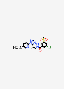 C[C@@H](CNC(=O)c1cc(Cl)cc(S(C)(=O)=O)c1)c1ncnn1-c1ccc(C(=O)O)cn1